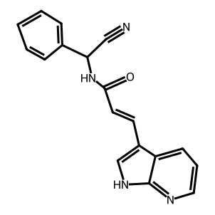 N#CC(NC(=O)/C=C/c1c[nH]c2ncccc12)c1ccccc1